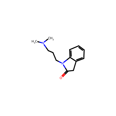 CN(C)CCCN1C(=O)Cc2ccccc21